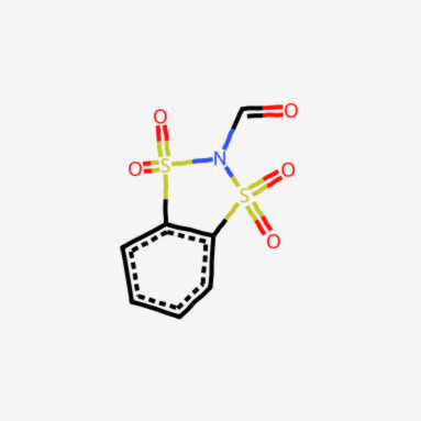 O=CN1S(=O)(=O)c2ccccc2S1(=O)=O